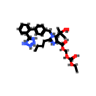 CCCCc1nc(C(=O)OCOC(=O)OCC)c(C(C)(C)O)n1Cc1ccc(-c2ccccc2-c2nnn[nH]2)cc1